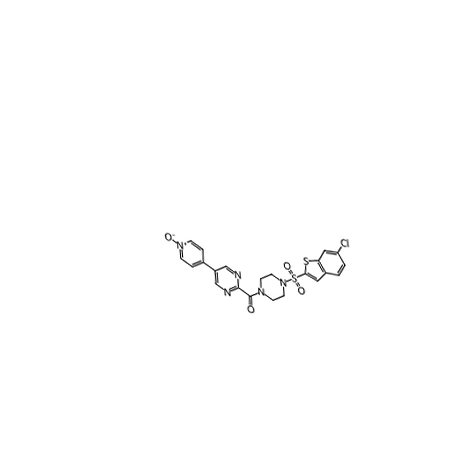 O=C(c1ncc(-c2cc[n+]([O-])cc2)cn1)N1CCN(S(=O)(=O)c2cc3ccc(Cl)cc3s2)CC1